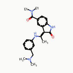 CCN(CC)C(=O)c1ccc2c(c1)C(=C(C)Nc1cccc(CN(C)C)c1)C(=O)N2